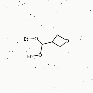 CCOC(OCC)C1COC1